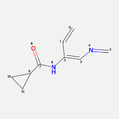 C=C/C(=C\N=C)NC(=O)C1CC1